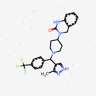 Cc1n[nH]cc1C(c1ccc(C(F)(F)F)cc1)N1CCC(N2Cc3ccccc3NC2=O)CC1